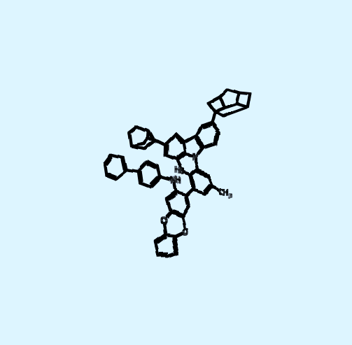 Cc1cc(-c2cc3c(cc2Nc2ccc(-c4ccccc4)cc2)Oc2ccccc2O3)c2c(c1)-n1c3ccc(C45CC6CC7CC(C4)C5C76)cc3c3cc(C4CC5CCC4CC5)cc(c31)B2